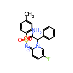 Cc1ccc(S(=O)(=O)/N=c2/ccc(F)cn2C(C(N)=O)c2ccccc2)cc1